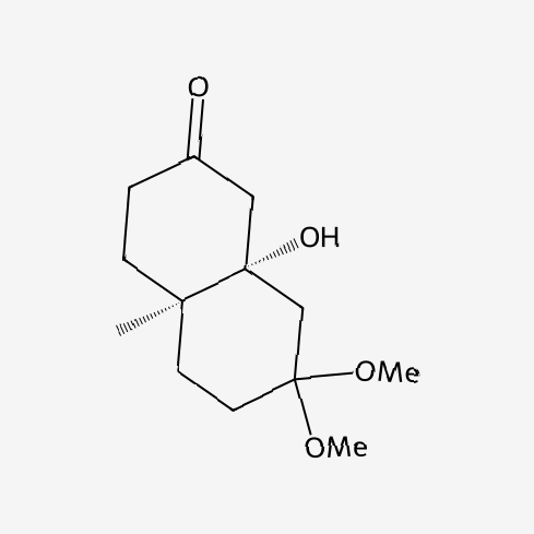 COC1(OC)CC[C@@]2(C)CCC(=O)C[C@@]2(O)C1